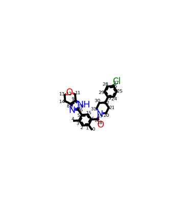 Cc1cc(C)c(-c2nc3c([nH]2)COCC3)cc1C(=O)N1CCC(c2ccc(Cl)cc2)CC1